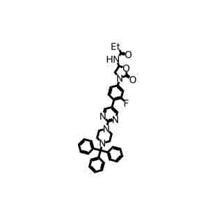 CCC(=O)NC1CN(c2ccc(-c3cnc(N4CCN(C(c5ccccc5)(c5ccccc5)c5ccccc5)CC4)nc3)c(F)c2)C(=O)O1